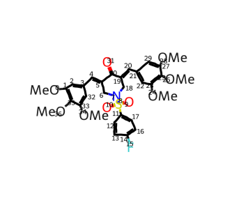 COc1cc(C=C2CN(S(=O)(=O)c3ccc(F)cc3)CC(=Cc3cc(OC)c(OC)c(OC)c3)C2=O)cc(OC)c1OC